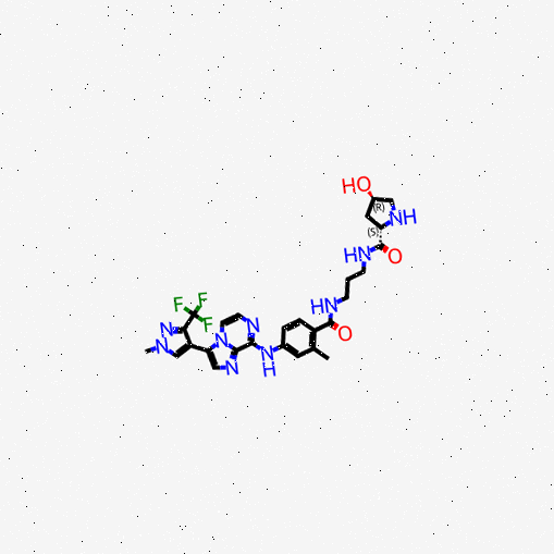 Cc1cc(Nc2nccn3c(-c4cn(C)nc4C(F)(F)F)cnc23)ccc1C(=O)NCCCNC(=O)[C@@H]1C[C@@H](O)CN1